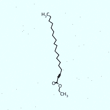 CCCCCCCCCCCCCCCCC#CC(=O)OCC